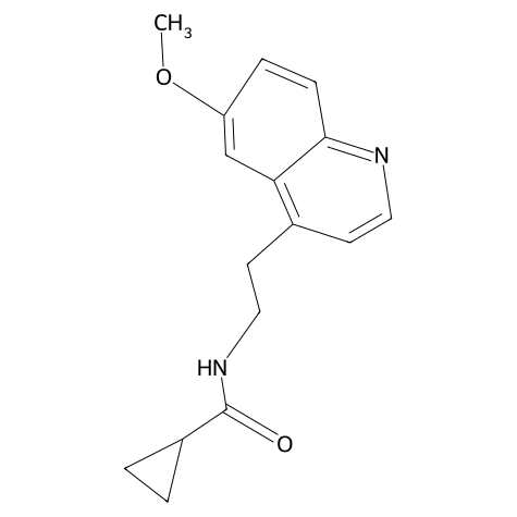 COc1ccc2nccc(CCNC(=O)C3CC3)c2c1